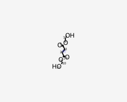 O=C(/C=C/C(=O)OCO)OCO